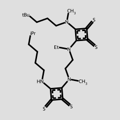 CCN(CCN(C)c1c(NCCCCC(C)C)c(=S)c1=S)c1c(N(C)CCCC(C)(C)C)c(=S)c1=S